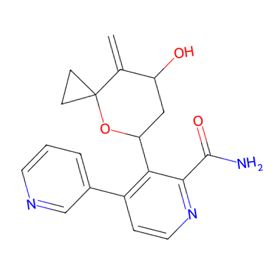 C=C1C(O)CC(c2c(-c3cccnc3)ccnc2C(N)=O)OC12CC2